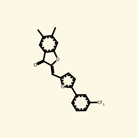 Cc1cc2c(cc1C)C(=O)C(=Cc1ccc(-c3cccc(C(F)(F)F)c3)o1)O2